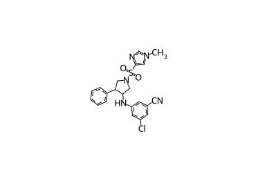 Cn1cnc(S(=O)(=O)N2CC(Nc3cc(Cl)cc(C#N)c3)C(c3ccccc3)C2)c1